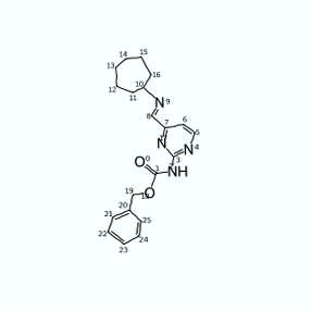 O=C(Nc1nccc(C=NC2CCCCCC2)n1)OCc1ccccc1